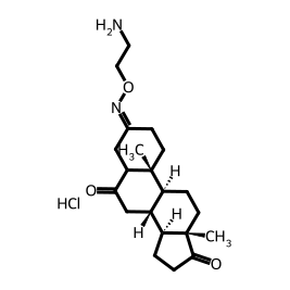 C[C@]12CCC(=NOCCN)CC1C(=O)C[C@@H]1[C@@H]2CC[C@]2(C)C(=O)CC[C@@H]12.Cl